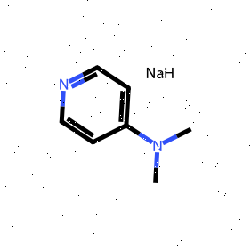 CN(C)c1ccncc1.[NaH]